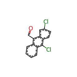 O=Cc1c2ccccc2c(Cl)c2ccc(Cl)cc12